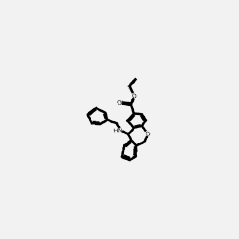 CCOC(=O)c1ccc2c(c1)C(NCc1ccccc1)c1ccccc1CO2